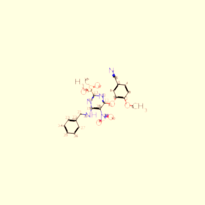 COc1ccc(C#N)cc1Oc1nc(S(C)(=O)=O)nc(NCc2ccccc2)c1[N+](=O)[O-]